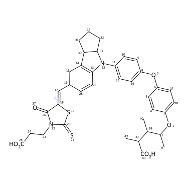 CC(Oc1ccc(Oc2ccc(N3C4=C(CC(/C=C5\SC(=S)N(CCC(=O)O)C5=O)C=C4)C4CCCC43)cc2)cc1)C(C)C(C)C(=O)O